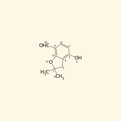 CC1(C)Cc2c(O)ccc(C=O)c2O1